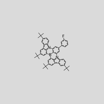 CC(C)(C)c1ccc2c(c1)c1cc(C(C)(C)C)cc3c1n2-c1cc(-c2cccc(F)c2)cc2c1B3c1cc(C(C)(C)C)cc3c4cc(C(C)(C)C)ccc4n-2c13